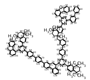 CC1(C)CCC(C)(C)c2cc(-c3nc(-c4ccc(-c5cccc(CC6(C)CCC(C)(C)c7cc(-c8nc(-c9cccc(-c%10ccccc%10)c9)nc(-c9cccc%10oc%11ccccc%11c9%10)n8)ccc76)c5)cc4)nc(-c4cc5cc(-c6ccc(-c7ccc(-c8nc(-c9ccc%10c(c9)C(C)(C)CCC%10(C)C)nc(-c9cccc%10sc%11ccccc%11c9%10)n8)cc7)cc6)ccc5c5ccccc45)n3)ccc21